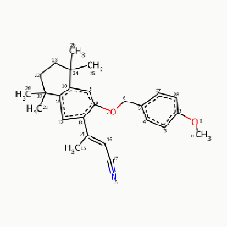 COc1ccc(COc2cc3c(cc2C(C)=CC#N)C(C)(C)CCC3(C)C)cc1